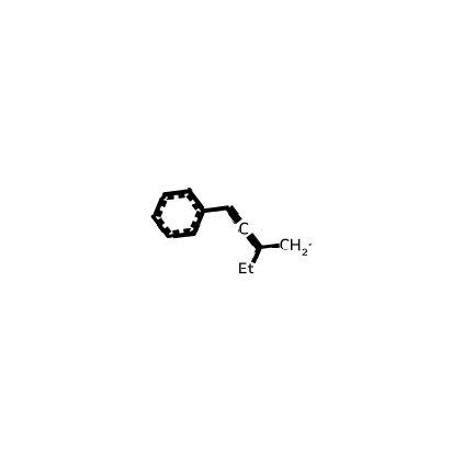 [CH2]C(=C=Cc1ccccc1)CC